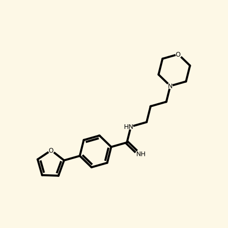 N=C(NCCCN1CCOCC1)c1ccc(-c2ccco2)cc1